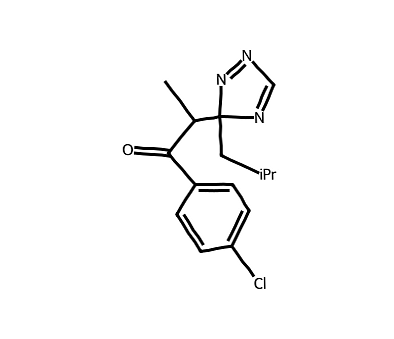 CC(C)CC1(C(C)C(=O)c2ccc(Cl)cc2)N=CN=N1